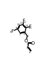 C=CC(=O)OCc1cc(F)cc(F)c1F